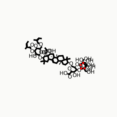 C/C=C(/C)C(=O)OC1[C@@H](OC(=O)/C(C)=C\C)C(C)O[C@@H](O[C@H]2[C@H](OC(C)=O)[C@@]3(CO)C(CC2(C)C)C2=CCC4[C@@]5(C)CC[C@H](O[C@@H]6OC(C(=O)O)[C@@H](O)C(O[C@@H]7O[C@@H](CO)C(O)[C@@H]7O)[C@@H]6O[C@@H]6OC(CO)[C@H](O)C(O)[C@@H]6O)C(C)(C)C5CC[C@@]4(C)[C@]2(C)C[C@H]3O)[C@H]1O